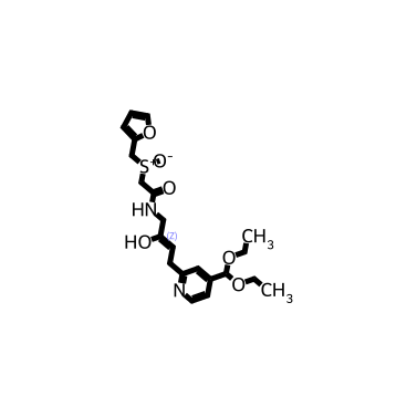 CCOC(OCC)c1ccnc(C/C=C(\O)CNC(=O)C[S+]([O-])Cc2ccco2)c1